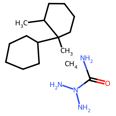 C.CC1CCCCC1(C)C1CCCCC1.NC(=O)N(N)N